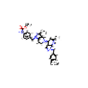 COc1ccc(Cn2ncc3c(N4CCc5c(c(C)nn5CC56CCC(NC(=O)OC(C)(C)C)(CC5)CC6)C4)cc(C)nc32)cc1